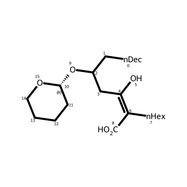 CCCCCCCCCCCC(CC(O)=C(CCCCCC)C(=O)O)O[C@@H]1CCCCO1